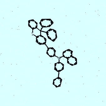 c1ccc(-c2ccc(N(c3ccc(-c4ccc5c(c4)C(c4ccccc4)(c4ccccc4)c4ccccc4S5)cc3)c3cccc4ccccc34)cc2)cc1